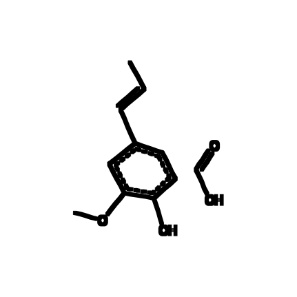 CC=Cc1ccc(O)c(OC)c1.O=CO